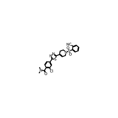 CN(C)C(=O)c1ccc(-c2nnc(C3=CCN(S(=O)(=O)c4ccccc4C#N)CC3)s2)cc1Cl